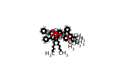 CCCCCCCCC1(CCCCCCCC)c2cc(N(c3ccccc3)c3ccccc3-c3ccc4c(c3)C(C)(C)N(C)C4(C)C)ccc2-c2ccc(N(c3ccccc3)c3ccccc3-c3ccc4c(c3)C(C)(C)N(C)C4(C)C)cc21